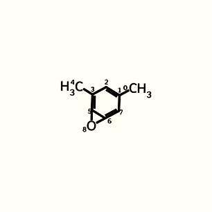 Cc1cc(C)c2c(c1)O2